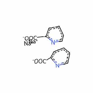 O=C([O-])c1ccccn1.O=C([O-])c1ccccn1.[Na+].[Na+]